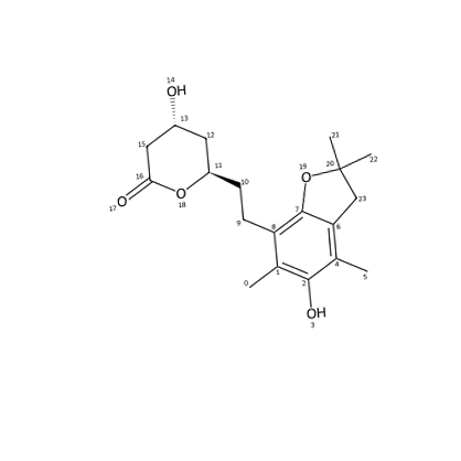 Cc1c(O)c(C)c2c(c1CC[C@@H]1C[C@@H](O)CC(=O)O1)OC(C)(C)C2